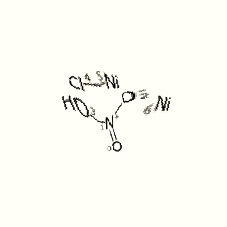 O=[N+]([O-])O.[Cl][Ni].[Ni]